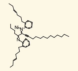 CCC=CCCCc1ccccc1N=C(CCCC)C(C#CCCCCCCCCCCC)=[N+]([Ni])c1ccccc1CCCC=CCC